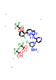 N[C@H]1C[C@@H](F)CN(c2ccncc2Nc2ncc3ccc(-c4c(F)cccc4F)nn23)C1.O=C(O)C(F)(F)F.O=C(O)C(F)(F)F.O=C(O)C(F)(F)F